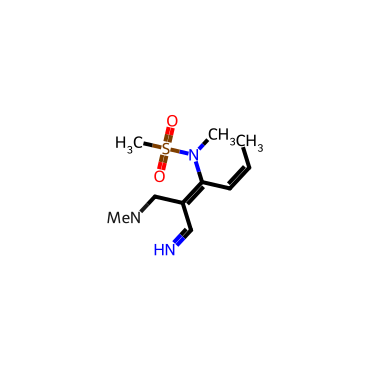 C/C=C\C(=C(/C=N)CNC)N(C)S(C)(=O)=O